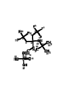 CCC(CC(F)(F)F)(CC(F)(F)F)NC(C)(C)C.O=P(O)(O)O